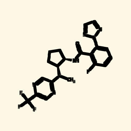 CN(c1cnc(C(F)(F)F)cn1)[C@H]1CCC[C@@H]1NC(=O)c1c(F)cccc1-n1nccn1